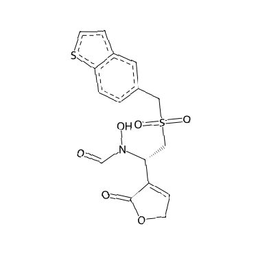 O=CN(O)[C@H](CS(=O)(=O)Cc1ccc2sccc2c1)C1=CCOC1=O